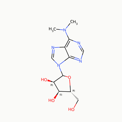 CN(C)c1ncnc2c1ncn2C1O[C@H](CO)[C@@H](O)[C@H]1O